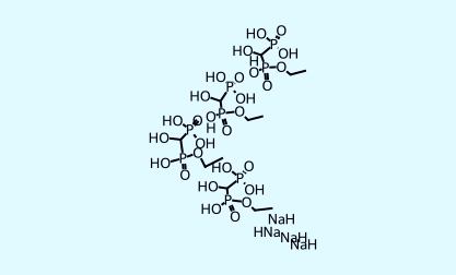 CCOP(=O)(O)C(O)P(=O)(O)O.CCOP(=O)(O)C(O)P(=O)(O)O.CCOP(=O)(O)C(O)P(=O)(O)O.CCOP(=O)(O)C(O)P(=O)(O)O.[NaH].[NaH].[NaH].[NaH]